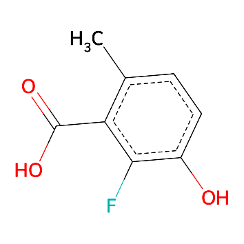 Cc1ccc(O)c(F)c1C(=O)O